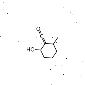 CC1CCCC(O)C1=C=O